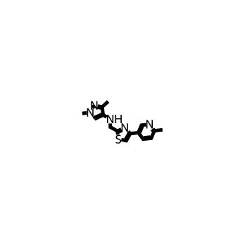 Cc1ccc(-c2csc(CNc3cn(C)nc3C)n2)cn1